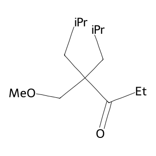 CCC(=O)C(COC)(CC(C)C)CC(C)C